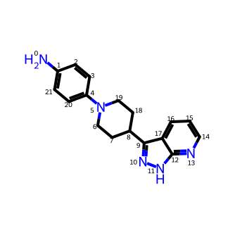 Nc1ccc(N2CCC(c3n[nH]c4ncccc34)CC2)cc1